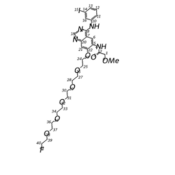 COCC(=O)Nc1cc2c(Nc3cccc(I)c3)ncnc2cc1OCCOCCOCCOCCOCCOCCF